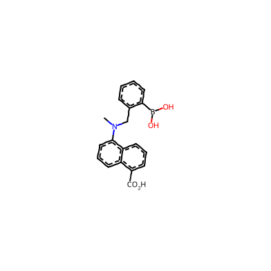 CN(Cc1ccccc1B(O)O)c1cccc2c(C(=O)O)cccc12